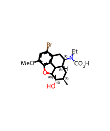 CCN(C(=O)O)[C@@H]1Cc2c(Br)cc(OC)c3c2C2[C@H]1C[C@@H](C)[C@H](O)[C@@H]2O3